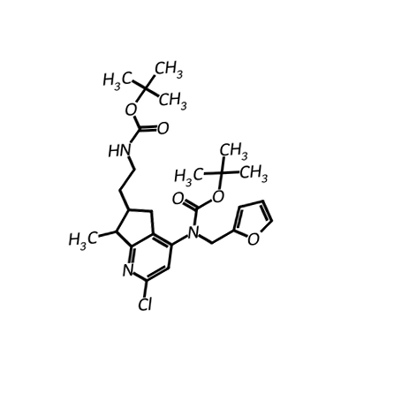 CC1c2nc(Cl)cc(N(Cc3ccco3)C(=O)OC(C)(C)C)c2CC1CCNC(=O)OC(C)(C)C